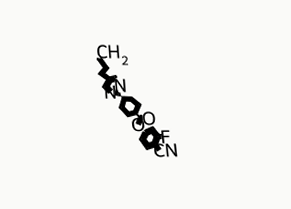 C=CCCc1cnc([C@H]2CC[C@H](C(=O)Oc3ccc(C#N)c(F)c3)CC2)nc1